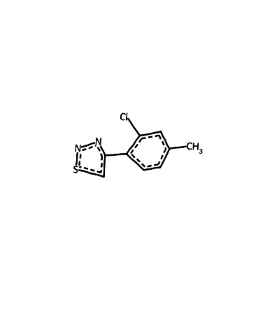 Cc1ccc(-c2csnn2)c(Cl)c1